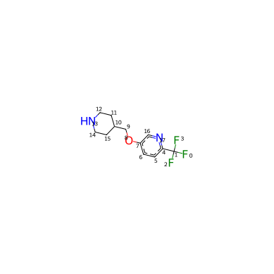 FC(F)(F)c1ccc(OCC2CCNCC2)cn1